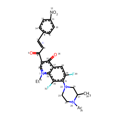 CCn1cc(C(=O)/C=C/c2ccc([N+](=O)[O-])cc2)c(=O)c2cc(F)c(N3CCN(C(C)=O)C(C)C3)c(F)c21